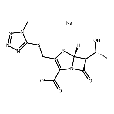 C[C@@H](O)[C@H]1C(=O)N2C(C(=O)[O-])=C(CSc3nnnn3C)S[C@H]12.[Na+]